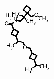 COCC1(C(C)(C)CN(C)C(=O)C2CC(C(C)COCC3CC(C(C)C)C3)C2)CCC1